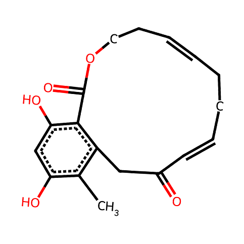 Cc1c(O)cc(O)c2c1CC(=O)/C=C/CC/C=C/CCOC2=O